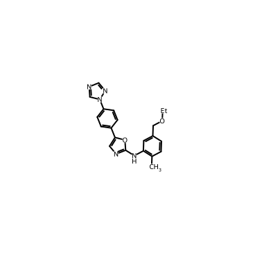 CCOCc1ccc(C)c(Nc2ncc(-c3ccc(-n4cncn4)cc3)o2)c1